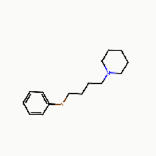 [CH]1CCN(CCCCSc2ccccc2)CC1